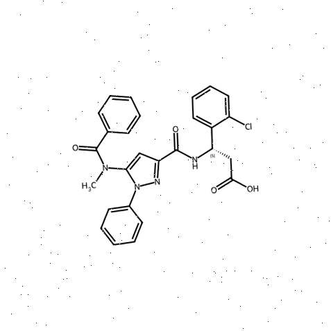 CN(C(=O)c1ccccc1)c1cc(C(=O)N[C@@H](CC(=O)O)c2ccccc2Cl)nn1-c1ccccc1